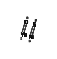 [O]=[Yb].[S]=[Ni]